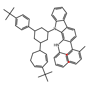 Cc1ccccc1-c1ccc2c3ccccc3n(C3CC(c4ccc(C(C)(C)C)cc4)CC(C4C=CC(C(C)(C)C)=CCC4)C3)c2c1Nc1ccccc1